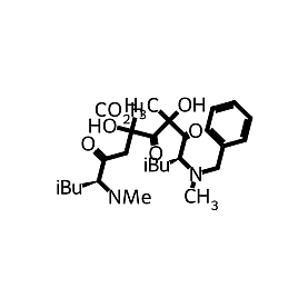 CCC(C)[C@H](NC)C(=O)CC(O)(C(=O)O)C(=O)C(C)(O)C(=O)[C@H](C(C)CC)N(C)Cc1ccccc1